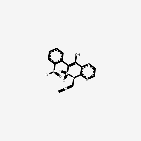 C=C=CN1c2nccnc2C(O)=C(c2ccccc2[N+](=O)[O-])S1(=O)=O